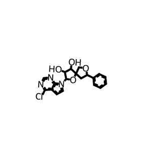 OC1C(n2ccc3c(Cl)ncnc32)OC2(COC(c3ccccc3)C2)C1O